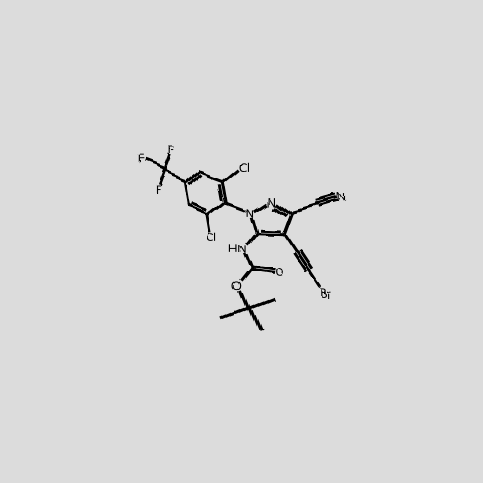 CC(C)(C)OC(=O)Nc1c(C#CBr)c(C#N)nn1-c1c(Cl)cc(C(F)(F)F)cc1Cl